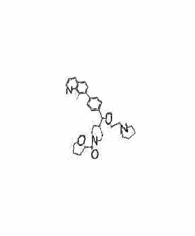 Cc1c(-c2ccc(C(OCCN3CCCC3)C3CCN(C(=O)C4CCCO4)CC3)cc2)ccc2cccnc12